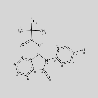 CC(C)(C)C(=O)O[C@H]1c2nccnc2C(=O)N1c1ccc(Cl)cn1